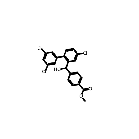 COC(=O)c1ccc(C(O)c2cc(Cl)ccc2-c2cc(Cl)cc(Cl)c2)cc1